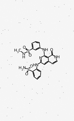 CNS(=O)(=O)c1cccc(Nc2nc(Nc3ccccc3S(N)(=O)=O)cc3cc[nH]c(=O)c23)c1